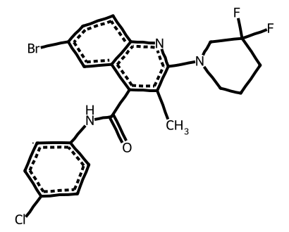 Cc1c(N2CCCC(F)(F)C2)nc2ccc(Br)cc2c1C(=O)Nc1[c]cc(Cl)cc1